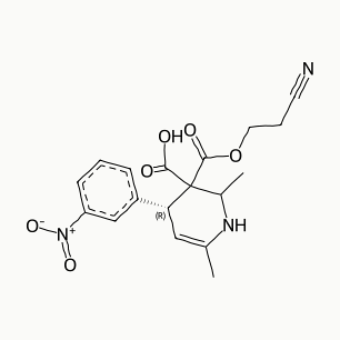 CC1=C[C@H](c2cccc([N+](=O)[O-])c2)C(C(=O)O)(C(=O)OCCC#N)C(C)N1